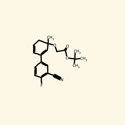 CC(C)(C)OC(=O)COC1(C)C=C(c2ccc(F)c(C#N)c2)C=CC1